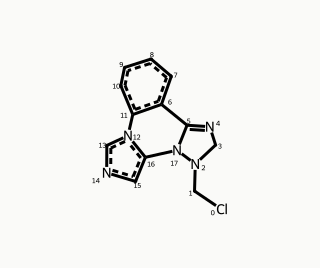 ClCN1CN=C2c3ccccc3-n3cncc3N21